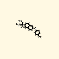 C[C@](N)(CO)c1ccc2cc(Oc3ccc(C(F)(F)F)cc3)ccc2c1